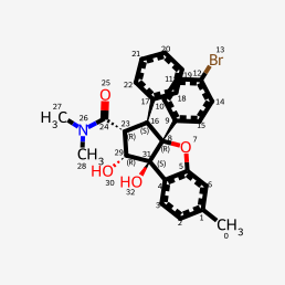 Cc1ccc2c(c1)O[C@@]1(c3ccc(Br)cc3)[C@H](c3ccccc3)[C@@H](C(=O)N(C)C)[C@@H](O)[C@@]21O